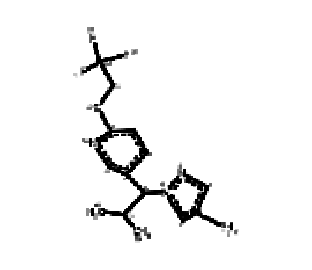 Bc1cnn(C(c2ccc(OCC(F)(F)F)nc2)C(C)C)c1